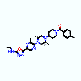 CCNc1nnc(-c2cnc(N3C[C@H](C)N(C4CCN(C(=O)c5ccc(C)cc5)CC4)C[C@H]3C)c(C)n2)o1